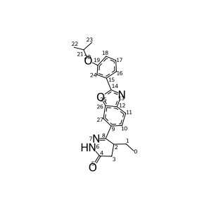 CCC1CC(=O)NN=C1c1ccc2nc(-c3cccc(OC(C)C)c3)oc2c1